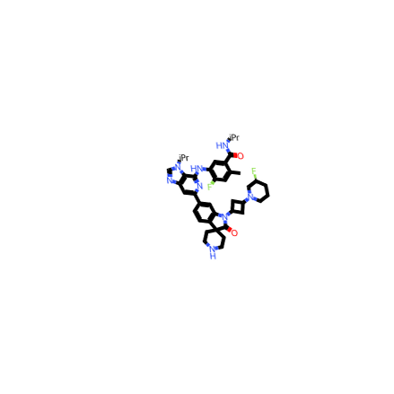 Cc1cc(F)c(Nc2nc(-c3ccc4c(c3)N(C3CC(N5CCC[C@H](F)C5)C3)C(=O)C43CCNCC3)cc3ncn(C(C)C)c23)cc1C(=O)NC(C)C